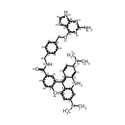 CN(C)c1ccc2c(c1)[SiH2]C1=CC(N(C)C)C=CC1=C2c1cc(C(=O)NCc2ccc(COc3nc(N)nc4[nH]cnc34)cc2)ccc1C=O